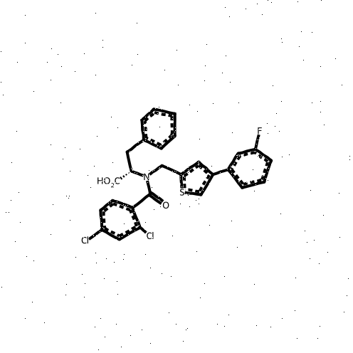 O=C(O)[C@H](Cc1ccccc1)N(Cc1cc(-c2cccc(F)c2)cs1)C(=O)c1ccc(Cl)cc1Cl